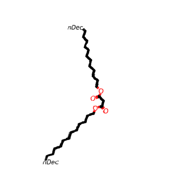 CCCCCCCCCCCCCCCCCCCCCCOC(=O)CC(=O)OCCCCCCCCCCCCCCCCCCCCCC